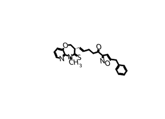 CN1C(=S)[C@@H](/C=C/CCC(=O)c2cc(Cc3ccccc3)on2)COc2cccnc21